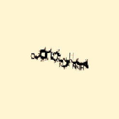 O=Cc1ccc(CN2CCN(c3nccc(Nc4cc(C5CC5)[nH]n4)n3)CC2)cc1